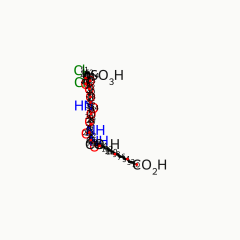 O=C(O)CCCCCCCCCCCCCCCCC(=O)NC(CCC(=O)NCCOCCOCC(=O)NCCOCCOCC(=O)Oc1c(Cl)cc(Cl)cc1S(=O)(=O)O)C(=O)O